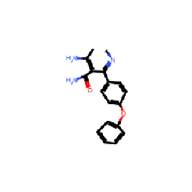 C/N=C(\C(C(N)=O)=C(/C)N)c1ccc(Oc2ccccc2)cc1